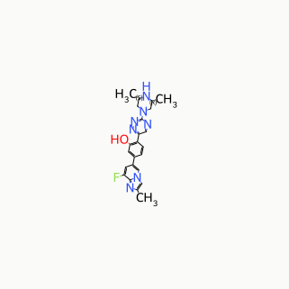 Cc1cn2cc(-c3ccc(-c4cnc(N5C[C@@H](C)N[C@@H](C)C5)nn4)c(O)c3)cc(F)c2n1